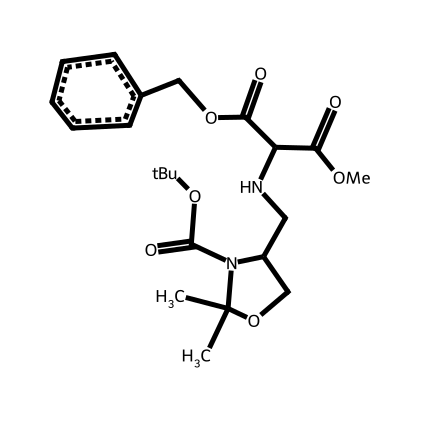 COC(=O)C(NCC1COC(C)(C)N1C(=O)OC(C)(C)C)C(=O)OCc1ccccc1